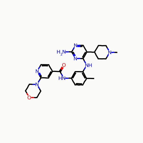 Cc1ccc(NC(=O)c2ccnc(N3CCOCC3)c2)cc1Nc1nc(N)ncc1C1CCN(C)CC1